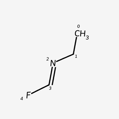 CCN=CF